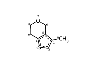 Cc1csc2c1COCC2